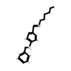 CCCCCCN=Cc1ccc(OCc2ccccc2)cc1